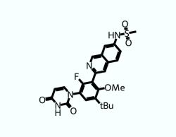 COc1c(C(C)(C)C)cc(-n2ccc(=O)[nH]c2=O)c(F)c1-c1cc2ccc(NS(C)(=O)=O)cc2cn1